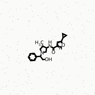 C[C@H]1CN(C(CO)c2ccccc2)CC1NC(=O)c1cc(C2CC2)on1